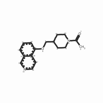 CC(=O)N1CC[C](COc2cccc3cnccc23)CC1